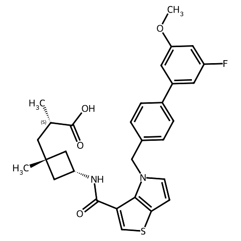 COc1cc(F)cc(-c2ccc(Cn3ccc4scc(C(=O)N[C@H]5C[C@@](C)(C[C@H](C)C(=O)O)C5)c43)cc2)c1